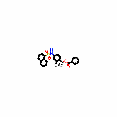 CC(=O)Oc1cc(NS(=O)(=O)c2cccc3ccccc23)ccc1COC(=O)c1ccccc1